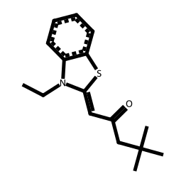 CCN1/C(=C/C(=O)CC(C)(C)C)Sc2ccccc21